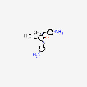 CC(C)CC1C/C(=C/c2ccc(N)cc2)C(=O)/C(=C/c2ccc(N)cc2)C1